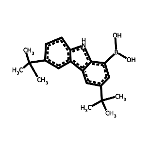 CC(C)(C)c1ccc2[nH]c3c(B(O)O)cc(C(C)(C)C)cc3c2c1